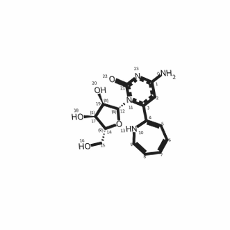 Nc1cc(C2=CC=CC=CN2)n([C@@H]2O[C@H](CO)[C@@H](O)[C@H]2O)c(=O)n1